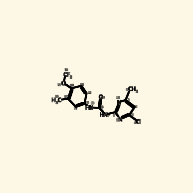 Cc1cc(Cl)nc(NC(=O)Nc2ccc(OC(F)(F)F)c(C)c2)n1